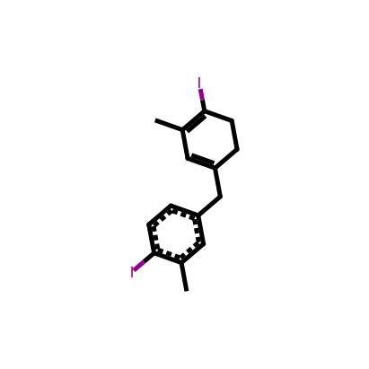 CC1=C(I)CCC(Cc2ccc(I)c(C)c2)=C1